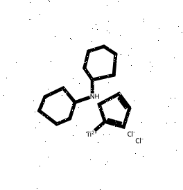 C1CCC(NC2CCCCC2)CC1.[Cl-].[Cl-].[Ti+2][C]1=CC=CC1